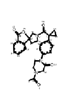 CC(=O)N1CCN(c2ccc(C3(C(=O)N4CCC5(C4)OC(=O)c4ccccc45)CC3)cc2)C(=O)C1